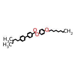 C=CCCCCCCOc1ccc(OC(=O)c2ccc(-c3ccc(CCC(C)CC)cc3)cc2)cc1